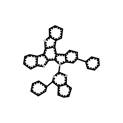 c1ccc(-c2ccc3c4c5c6ccccc6oc5c5c6ccccc6sc5c4n(-c4nc(-c5ccccc5)c5ccccc5n4)c3c2)cc1